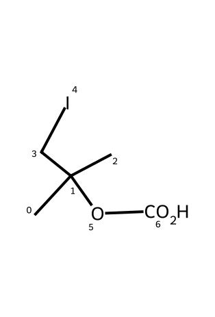 CC(C)(CI)OC(=O)O